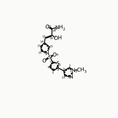 Cn1cc(-c2ccc(S(=O)(=O)n3ccc(C=C(O)C(N)=O)c3)s2)cn1